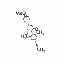 CC#Cc1cc(C)c(C2C(=O)CC(C3CCN(OC)CC3)CC2=O)c(C)c1